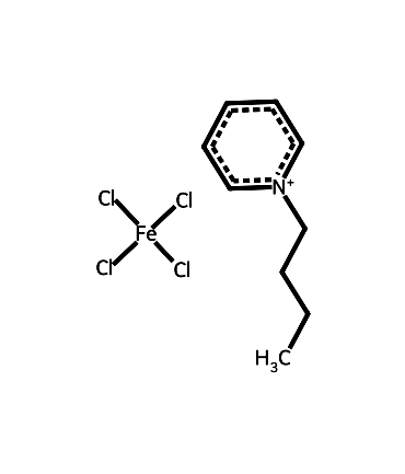 CCCC[n+]1ccccc1.[Cl][Fe]([Cl])([Cl])[Cl]